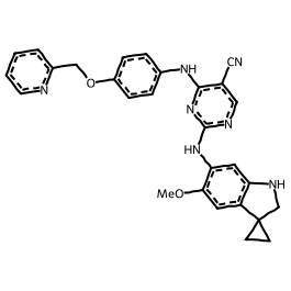 COc1cc2c(cc1Nc1ncc(C#N)c(Nc3ccc(OCc4ccccn4)cc3)n1)NCC21CC1